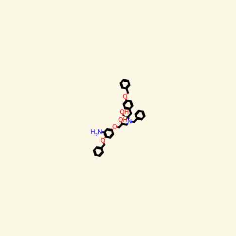 Nc1cc(OC[C@@H](O)CN(Cc2ccccc2)[C@H](CO)Cc2ccc(OCc3ccccc3)cc2)ccc1OCc1ccccc1